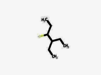 CCC([S])C(CC)CC